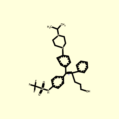 CC(C)N1CCN(c2ccc(/C(=C(/CCCO)c3ccccc3)c3ccc(NS(=O)(=O)C(F)(F)F)cc3)cc2)CC1